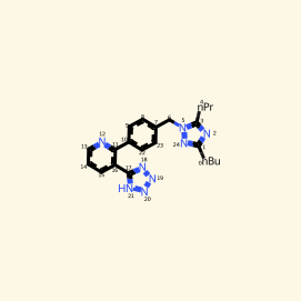 CCCCc1nc(CCC)n(Cc2ccc(-c3ncccc3-c3nnn[nH]3)cc2)n1